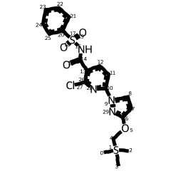 CS(C)(C)COc1ccn(-c2ccc(C(=O)NS(=O)(=O)c3ccccc3)c(Cl)n2)n1